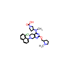 CN1CCCC1COc1nc2c(c(N(C)C3CCN(C(=O)O)C3)n1)CCN(c1cccc3cccc(Cl)c13)C2